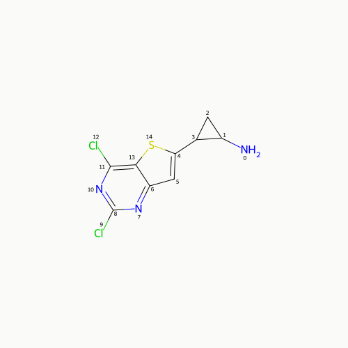 NC1CC1c1cc2nc(Cl)nc(Cl)c2s1